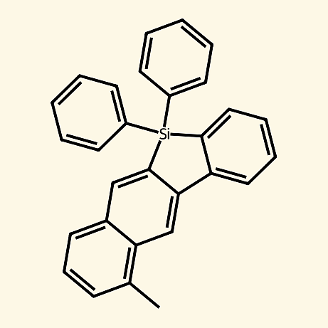 Cc1cccc2cc3c(cc12)-c1ccccc1[Si]3(c1ccccc1)c1ccccc1